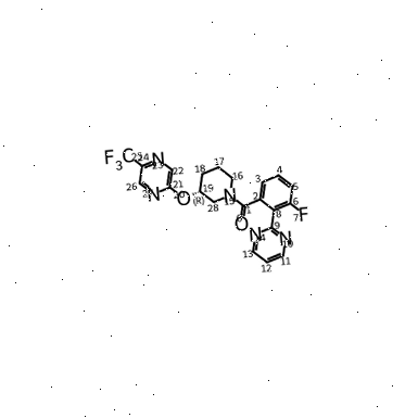 O=C(c1cccc(F)c1-c1ncccn1)N1CCC[C@@H](Oc2cnc(C(F)(F)F)cn2)C1